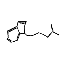 CN(C)CCCC1C=Cc2ccccc21